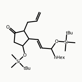 C=CCC1C(=O)CC(O[Si](C)(C)C(C)(C)C)C1C=CC(CCCCCC)O[Si](C)(C)C(C)(C)C